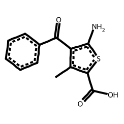 Cc1c(C(=O)O)sc(N)c1C(=O)c1ccccc1